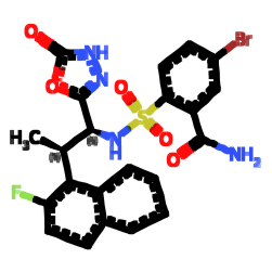 C[C@H](c1c(F)ccc2ccccc12)[C@H](NS(=O)(=O)c1ccc(Br)cc1C(N)=O)c1n[nH]c(=O)o1